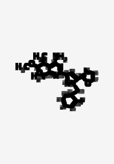 COC(=O)N(C)c1c(N)nc(-c2cc(-c3ncco3)n(Cc3ccccc3F)n2)nc1N